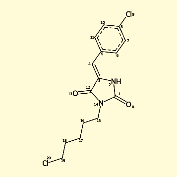 O=C1N/C(=C\c2ccc(Cl)cc2)C(=O)N1CCCCCCl